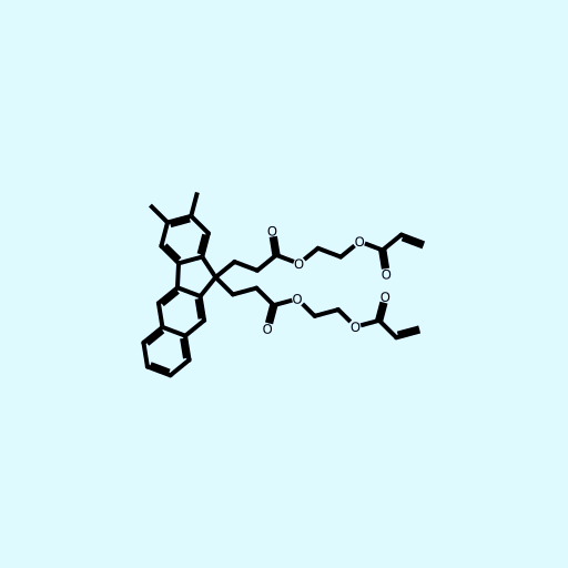 C=CC(=O)OCCOC(=O)CCC1(CCC(=O)OCCOC(=O)C=C)c2cc(C)c(C)cc2-c2cc3ccccc3cc21